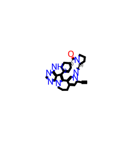 C#Cc1cc2c(cn1)-c1c(C3=CC[C@@H](C(=O)N4CCC[C@H]4C#N)CC3)c3c(N)ncnc3n1CCC2